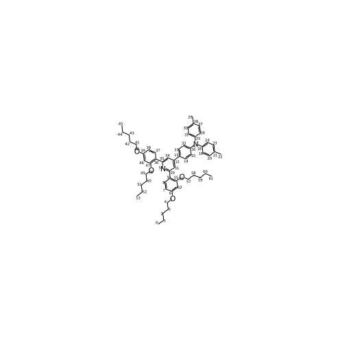 CCCCCOc1ccc(-c2cc(-c3ccc(N(c4ccc(C)cc4)c4ccc(C)cc4)cc3)cc(-c3ccc(OCCCCC)cc3OCCCCC)n2)c(OCCCCC)c1